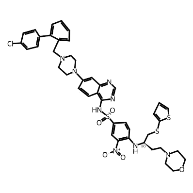 O=[N+]([O-])c1cc(S(=O)(=O)Nc2ncnc3cc(N4CCN(Cc5ccccc5-c5ccc(Cl)cc5)CC4)ccc23)ccc1N[C@H](CCN1CCOCC1)CSc1cccs1